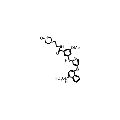 COc1cc(Nc2cc(Oc3ccc(NC(=O)O)c4ccccc34)ccn2)cc(C(=O)NCCN2CC[S+]([O-])CC2)c1